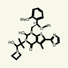 COc1ccccc1[C@H](CN1c2sc(-c3ncco3)c(C)c2C(=O)N(C(C)(C)C(O)N2CCC2)C1O)OC(C)C